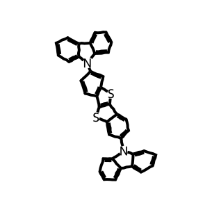 c1ccc2c(c1)c1ccccc1n2-c1ccc2c(c1)sc1c3ccc(-n4c5ccccc5c5ccccc54)cc3sc21